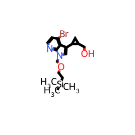 C[Si](C)(C)CCOCn1cc(C2CC2CO)c2c(Br)ccnc21